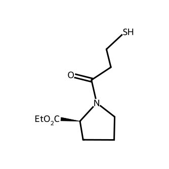 CCOC(=O)[C@@H]1CCCN1C(=O)CCS